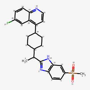 CC(c1nc2ccc(S(C)(=O)=O)cc2[nH]1)C1CCC(c2ccnc3ccc(F)cc23)CC1